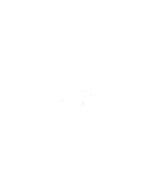 C/C=C1/CC[C@H]2/C(=C/Br)CCC[C@]12C